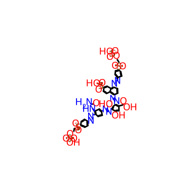 NC(=O)Nc1cc(N=Nc2c(O)cc(C(=O)O)c(N=Nc3ccc(N=Nc4ccc(S(=O)(=O)CCOS(=O)(=O)O)cc4)c4cc(S(=O)(=O)O)ccc34)c2O)ccc1N=Nc1ccc(S(=O)(=O)CCOS(=O)(=O)O)cc1